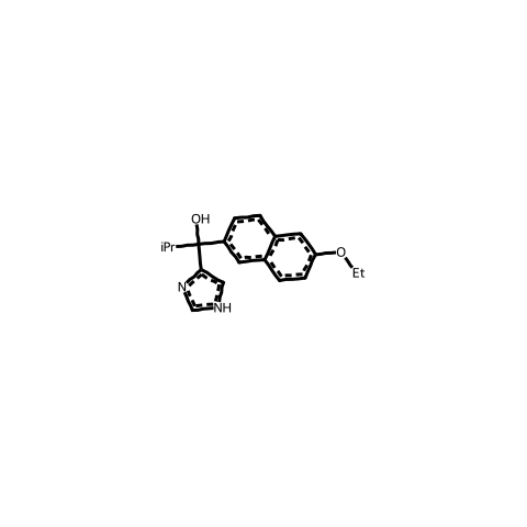 CCOc1ccc2cc(C(O)(c3c[nH]cn3)C(C)C)ccc2c1